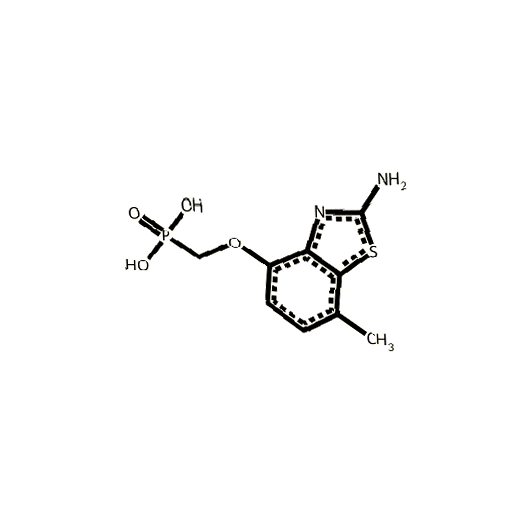 Cc1ccc(OCP(=O)(O)O)c2nc(N)sc12